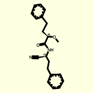 CO[C@H](CCc1ccccc1)C(=O)N[C@H](C#N)CCc1ccccc1